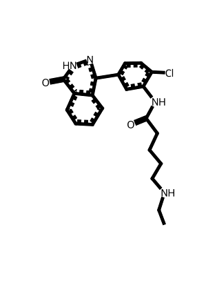 CCNCCCCC(=O)Nc1cc(-c2n[nH]c(=O)c3ccccc23)ccc1Cl